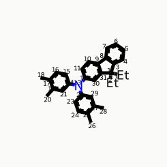 CCC1(CC)c2ccccc2-c2ccc(N(c3ccc(C)c(C)c3)c3ccc(C)c(C)c3)cc21